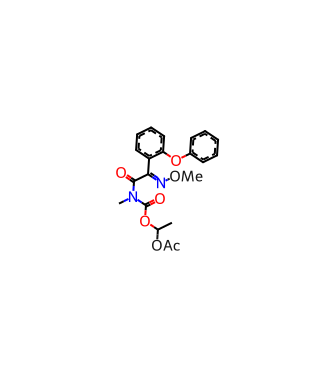 CO/N=C(/C(=O)N(C)C(=O)OC(C)OC(C)=O)c1ccccc1Oc1ccccc1